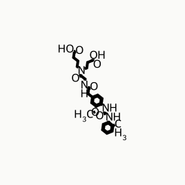 COc1cc(CC(=O)NCC(=O)N(CCCC(=O)O)CCC(=O)O)ccc1NC(=O)Nc1ccccc1C